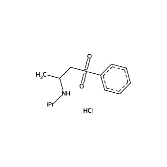 CC(C)NC(C)CS(=O)(=O)c1ccccc1.Cl